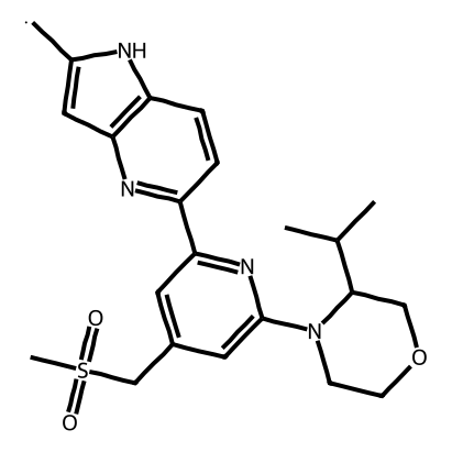 [CH2]c1cc2nc(-c3cc(CS(C)(=O)=O)cc(N4CCOCC4C(C)C)n3)ccc2[nH]1